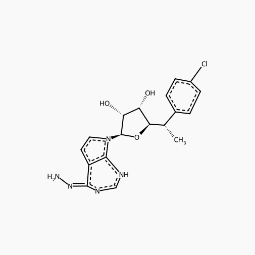 C[C@@H](c1ccc(Cl)cc1)[C@H]1O[C@@H](n2ccc3/c(=N\N)nc[nH]c32)[C@H](O)[C@@H]1O